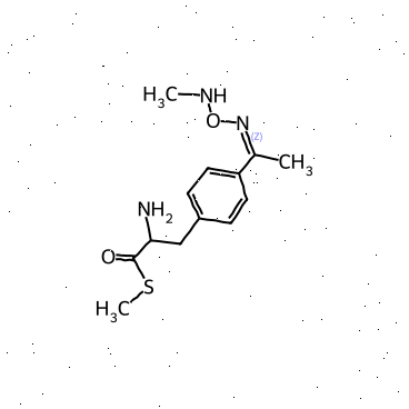 CNO/N=C(/C)c1ccc(CC(N)C(=O)SC)cc1